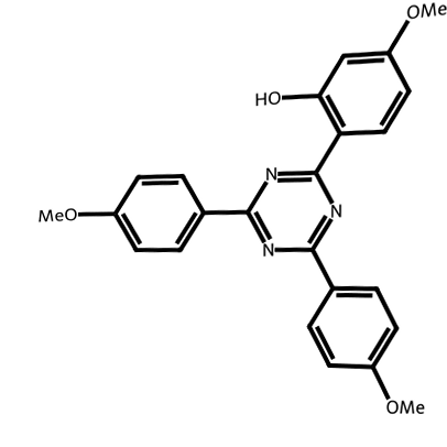 COc1ccc(-c2nc(-c3ccc(OC)cc3)nc(-c3ccc(OC)cc3O)n2)cc1